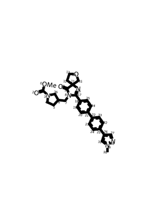 COC(=O)N1CCC(CN2C(=O)C3(CCOC3)N=C2c2ccc(-c3ccc(-c4cnn(C)c4)cc3)cc2)C1